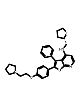 c1ccc(-c2c(-c3ccc(OCCN4CCCC4)cc3)oc3nccc(NC[C@@H]4CCCO4)c23)cc1